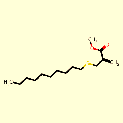 C=C(CSCCCCCCCCCC)C(=O)OC